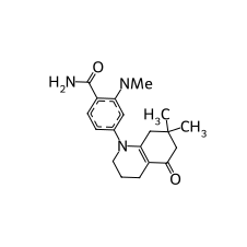 CNc1cc(N2CCCC3=C2CC(C)(C)CC3=O)ccc1C(N)=O